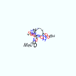 COc1cnc(O[C@@H]2C[C@H]3C(=O)N[C@]4(C(=O)NS(=O)(=O)C5CC5)C[C@H]4/C=C\CC[C@H](C)C[C@@H](C)C(NC(=O)OC(C)(C)C)C(=O)N3C2)c2ccccc12